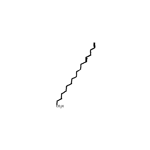 C=CCCC=CCCCCCCCCCCCC(=O)O